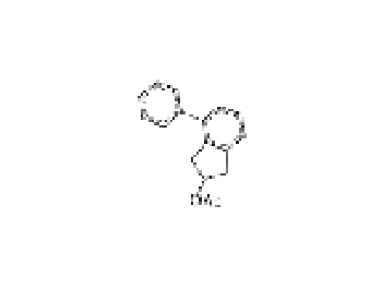 CC(=O)OC1Cc2cccc(-c3ccccc3)c2C1